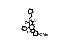 COc1ccc2[nH]c3c(c2c1)C[C@@]1(C)C(=O)N(CCN2CC=CCC2)C(=O)N1[C@@H]3C1C=CC=CC1